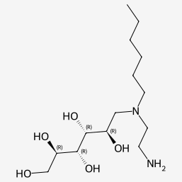 CCCCCCN(CCN)C[C@@H](O)[C@@H](O)[C@H](O)[C@H](O)CO